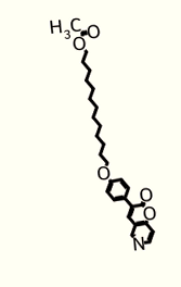 CC(=O)OCCCCCCCCCCCCCOc1ccc(-c2cc3cnccc3oc2=O)cc1